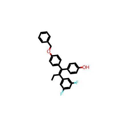 CCC(=C(c1ccc(O)cc1)c1ccc(OCc2ccccc2)cc1)c1cc(F)cc(F)c1